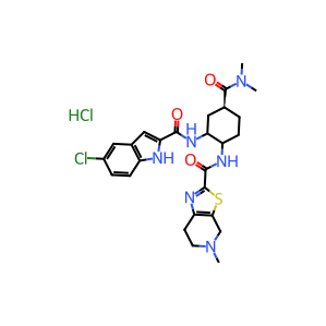 CN1CCc2nc(C(=O)NC3CC[C@H](C(=O)N(C)C)CC3NC(=O)c3cc4cc(Cl)ccc4[nH]3)sc2C1.Cl